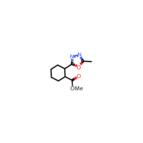 COC(=O)C1CCCCC1c1nnc(C)o1